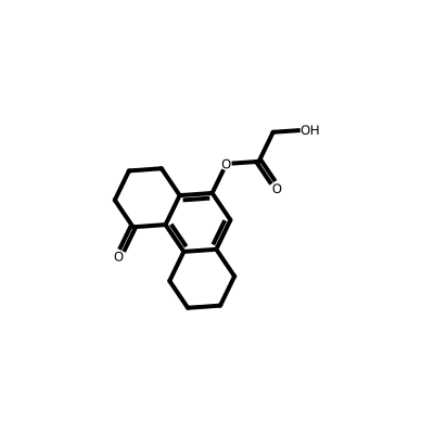 O=C(CO)Oc1cc2c(c3c1CCCC3=O)CCCC2